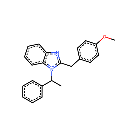 COc1ccc(Cc2nc3ccccc3n2C(C)c2ccccc2)cc1